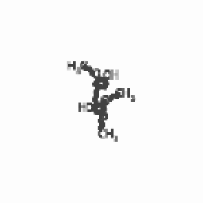 CCCCOc1cc(O)c(C/C=C/c2ccc(O)c(OCCCC)c2)c(OCCCC)c1